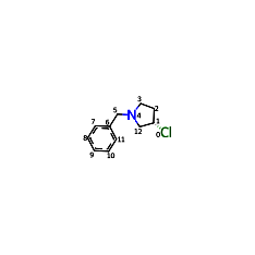 Cl[C@H]1CCN(Cc2ccccc2)C1